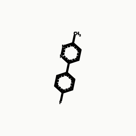 Cc1ccc(-c2ccc(F)cc2)nn1